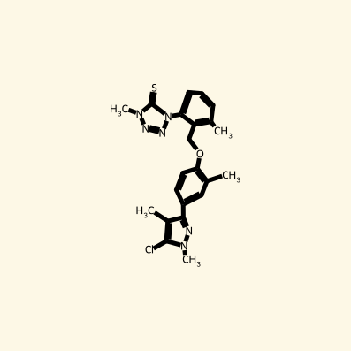 Cc1cc(-c2nn(C)c(Cl)c2C)ccc1OCc1c(C)cccc1-n1nnn(C)c1=S